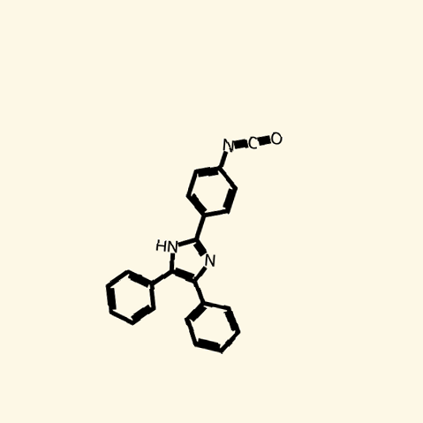 O=C=Nc1ccc(-c2nc(-c3ccccc3)c(-c3ccccc3)[nH]2)cc1